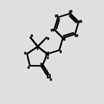 CC1(C)CCC(=O)N1Cc1ccccc1